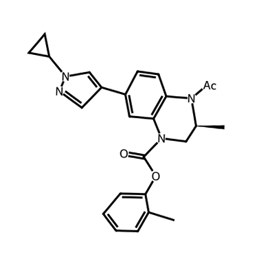 CC(=O)N1c2ccc(-c3cnn(C4CC4)c3)cc2N(C(=O)Oc2ccccc2C)C[C@@H]1C